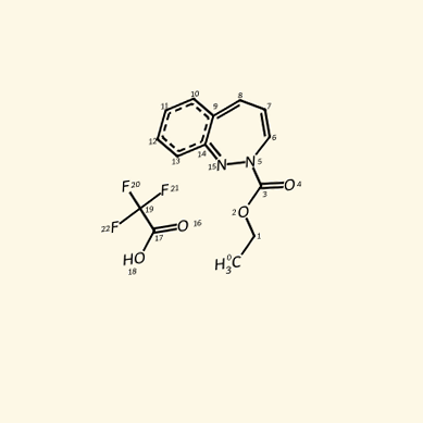 CCOC(=O)N1C=CC=c2ccccc2=N1.O=C(O)C(F)(F)F